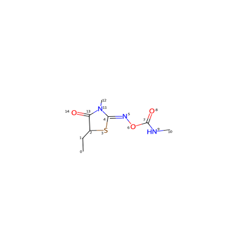 CCC1SC(=NOC(=O)NC)N(C)C1=O